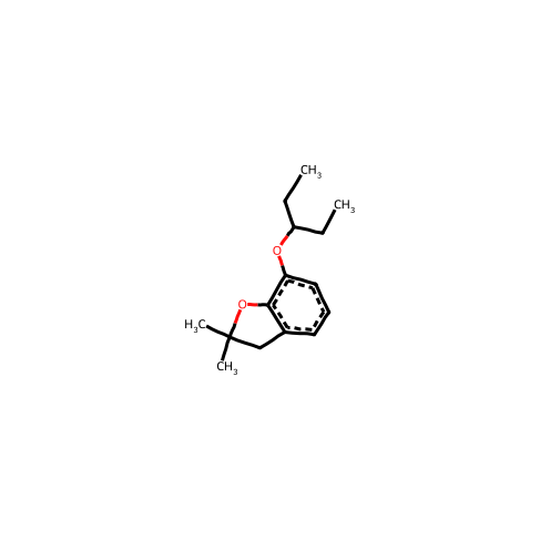 CCC(CC)Oc1cccc2c1OC(C)(C)C2